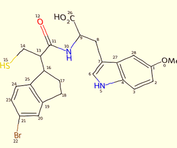 COc1ccc2[nH]cc(CC(NC(=O)C(CS)C3CCc4cc(Br)ccc43)C(=O)O)c2c1